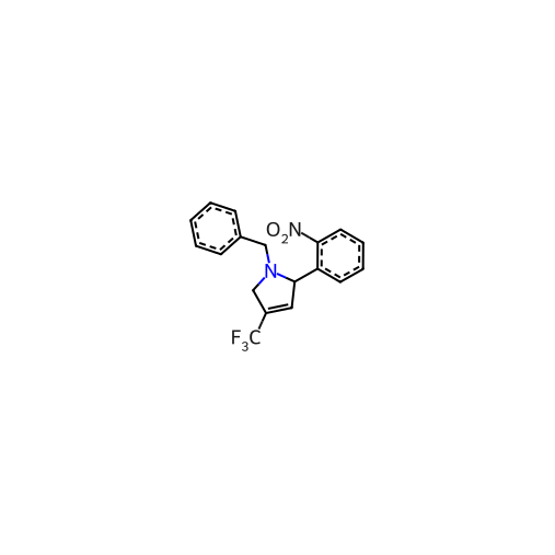 O=[N+]([O-])c1ccccc1C1C=C(C(F)(F)F)CN1Cc1ccccc1